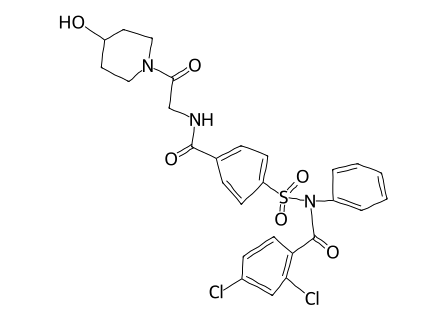 O=C(NCC(=O)N1CCC(O)CC1)c1ccc(S(=O)(=O)N(C(=O)c2ccc(Cl)cc2Cl)c2ccccc2)cc1